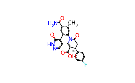 Cc1cc(N2C=C(C(=O)O)[C@H](c3ccc(F)cc3)CC2=O)c(-c2ccn[nH]c2=O)cc1C(N)=O